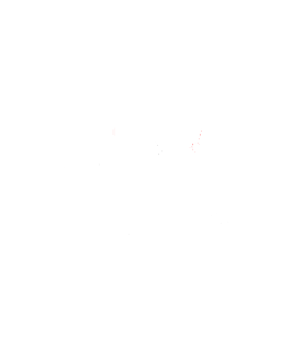 C=Cc1cccc(C(=O)O)c1C(=O)OCC